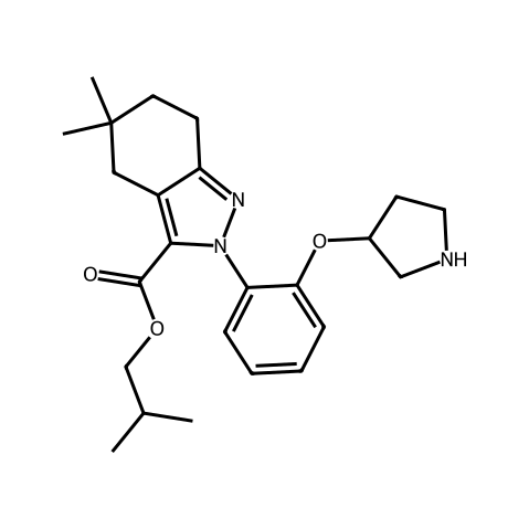 CC(C)COC(=O)c1c2c(nn1-c1ccccc1OC1CCNC1)CCC(C)(C)C2